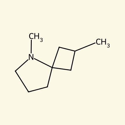 CC1CC2(CCCN2C)C1